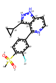 CS(=O)(=O)c1ccc(-c2nccc3[nH]nc(C4CC4)c23)cc1F